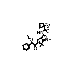 CCOC(C(=O)N1Cc2c(NC(=O)C3(S(C)(C)C)CCC3)n[nH]c2C1(C)C)c1ccccc1